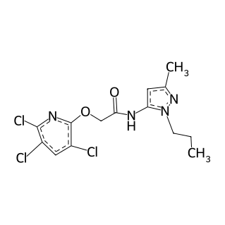 CCCn1nc(C)cc1NC(=O)COc1nc(Cl)c(Cl)cc1Cl